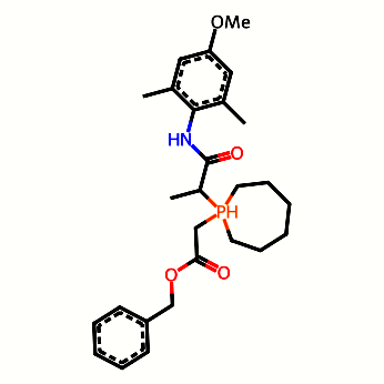 COc1cc(C)c(NC(=O)C(C)[PH]2(CC(=O)OCc3ccccc3)CCCCCC2)c(C)c1